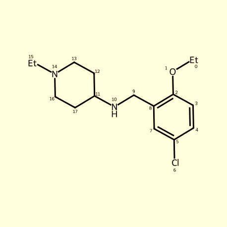 CCOc1ccc(Cl)cc1CNC1CCN(CC)CC1